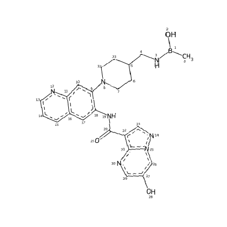 CB(O)NCC1CCN(c2cc3ncccc3cc2NC(=O)c2cnn3cc(O)cnc23)CC1